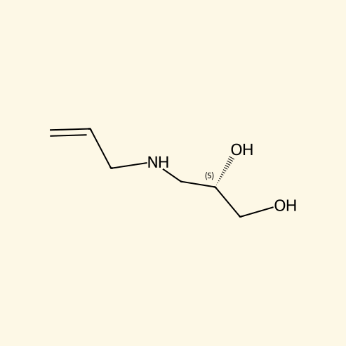 C=CCNC[C@H](O)CO